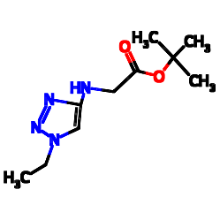 CCn1cc(NCC(=O)OC(C)(C)C)nn1